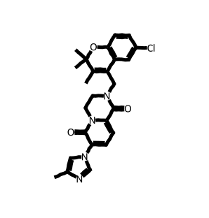 CC1=C(CN2CCn3c(ccc(-n4cnc(C)c4)c3=O)C2=O)c2cc(Cl)ccc2OC1(C)C